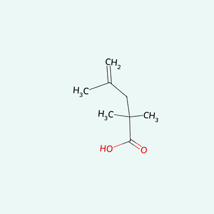 C=C(C)CC(C)(C)C(=O)O